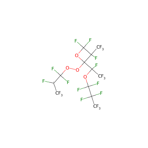 F[C](C(F)(F)F)C(F)(F)OOC1(C(F)(OC(F)(F)C(F)(F)C(F)(F)F)C(F)(F)F)OC(F)(F)C1(F)C(F)(F)F